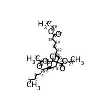 CCCCC[C@@H](C#CCC(CCCCCCC(=O)OCC)(C(C)=O)C(=O)OCC)OC(C)=O